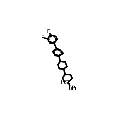 CCC[SiH]1CCC(C2CCC(c3ccc(-c4ccc(F)c(F)c4)cc3)CC2)CC1